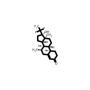 C[C@@H]1CC2=CC(=O)CC[C@@H]2[C@H]2CC[C@@]3(C)[C@@H](CC[C@@]3(O)C(F)(F)C(F)(F)F)[C@@H]21